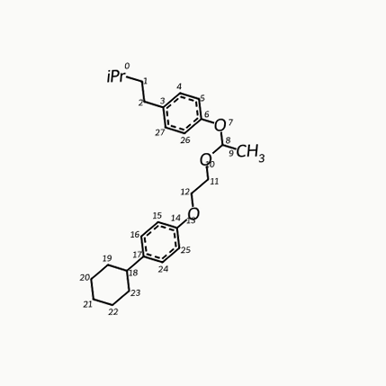 CC(C)CCc1ccc(OC(C)OCCOc2ccc(C3CCCCC3)cc2)cc1